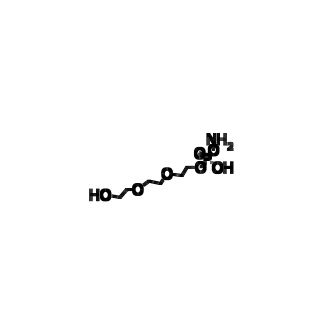 NOP(=O)(O)OCCOCCOCCO